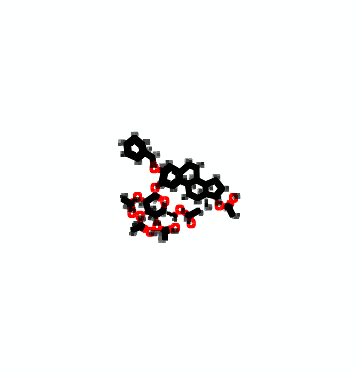 CC(=O)OC[C@H]1O[C@@H](Oc2cc3c(cc2OCc2ccccc2)CCC2C3CC[C@@]3(C)C2CC[C@@H]3OC(C)=O)[C@H](OC(C)=O)[C@@H](OC(C)=O)[C@@H]1OC(C)=O